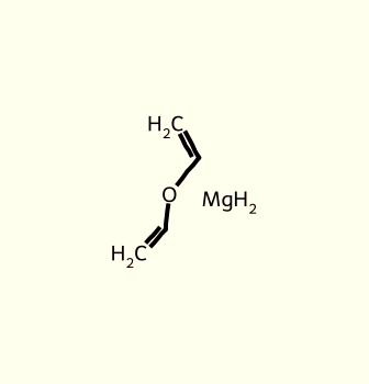 C=COC=C.[MgH2]